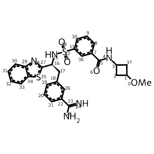 COC1CC(NC(=O)c2cccc(S(=O)(=O)N[C@@H](Cc3cccc(C(=N)N)c3)c3nc4ccccc4s3)c2)C1